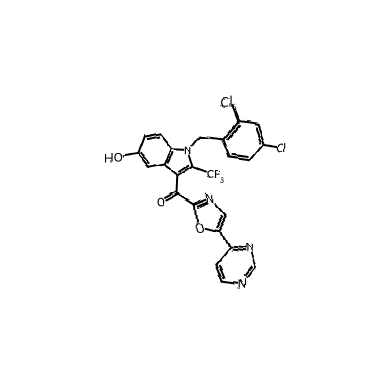 O=C(c1ncc(-c2ccncn2)o1)c1c(C(F)(F)F)n(Cc2ccc(Cl)cc2Cl)c2ccc(O)cc12